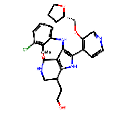 COc1c(Cl)cccc1Nc1c(-c2ccncc2OC[C@@H]2CCCO2)[nH]c2c1C(=O)NCC2CCO